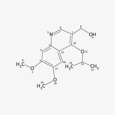 COc1cc2ncc(CO)c(OC(C)C)c2cc1OC